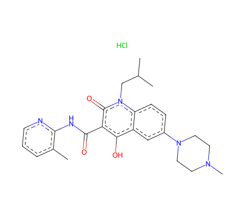 Cc1cccnc1NC(=O)c1c(O)c2cc(N3CCN(C)CC3)ccc2n(CC(C)C)c1=O.Cl